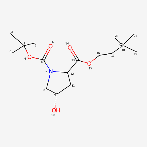 CC(C)(C)OC(=O)N1C[C@@H](O)CC1C(=O)OCC[Si](C)(C)C